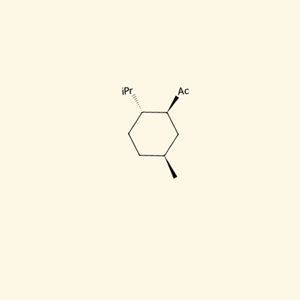 [CH2]C(=O)[C@H]1C[C@@H](C)CC[C@@H]1C(C)C